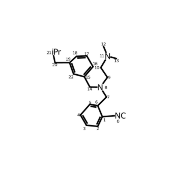 [C-]#[N+]c1ccccc1CN(CCN(C)C)Cc1cccc(CC(C)C)c1